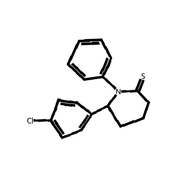 S=C1CCCC(c2ccc(Cl)cc2)N1c1ccccc1